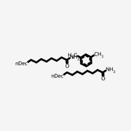 CCCCCCCCCCCCCCCCCC(N)=O.CCCCCCCCCCCCCCCCCC(N)=O.Cc1cccc(C)c1